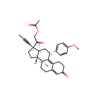 CC#C[C@]1(C(=O)COC(C)=O)CC[C@H]2[C@@H]3CCC4=CC(=O)CCC4=C3[C@@H](c3ccc(OC)cc3)C[C@@]21C